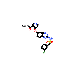 CNC(=O)c1cnccc1Oc1ccc2nc(NS(=O)(=O)Cc3cccc(Cl)c3)nnc2c1